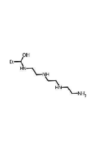 CCC(O)NCCNCCNCCN